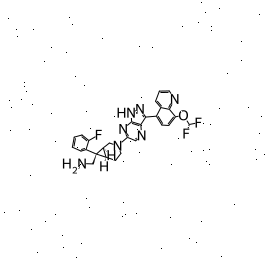 NC[C@]1(c2ccccc2F)[C@@H]2CCN(c3cnc4c(-c5ccc(OC(F)F)c6ncccc56)n[nH]c4n3)C[C@@H]21